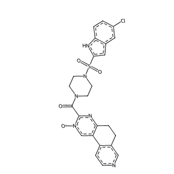 O=C(c1nc2c(c[n+]1[O-])-c1ccncc1CC2)N1CCN(S(=O)(=O)c2cc3cc(Cl)ccc3[nH]2)CC1